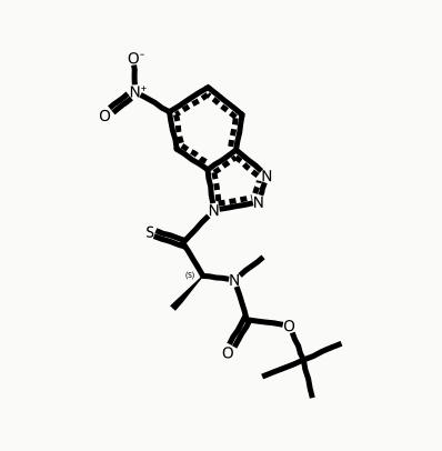 C[C@@H](C(=S)n1nnc2ccc([N+](=O)[O-])cc21)N(C)C(=O)OC(C)(C)C